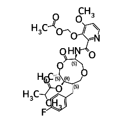 COc1ccnc(C(=O)N[C@H]2COC[C@H](Cc3ccc(F)cc3)[C@@H](OC(=O)C(C)C)[C@H](C)OC2=O)c1OCOC(C)=O